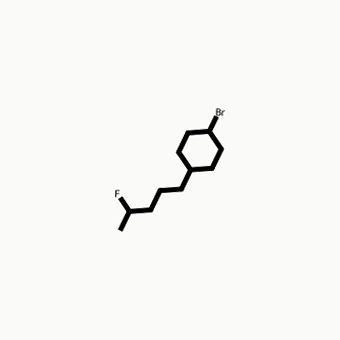 CC(F)CCCC1CCC(Br)CC1